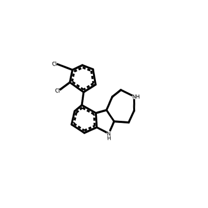 Clc1cccc(-c2cccc3c2C2CCNCCC2N3)c1Cl